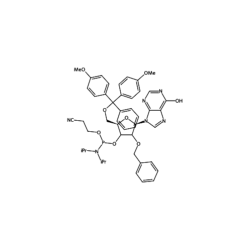 COc1ccc(C(OC[C@H]2O[C@@H](n3cnc4c(O)ncnc43)C(OCc3ccccc3)C2OP(OCCC#N)N(C(C)C)C(C)C)(c2ccccc2)c2ccc(OC)cc2)cc1